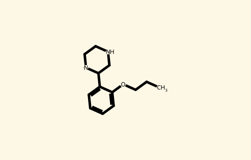 CCCOc1ccccc1C1CNCC[N]1